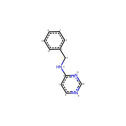 c1ccc(CNc2ccncn2)cc1